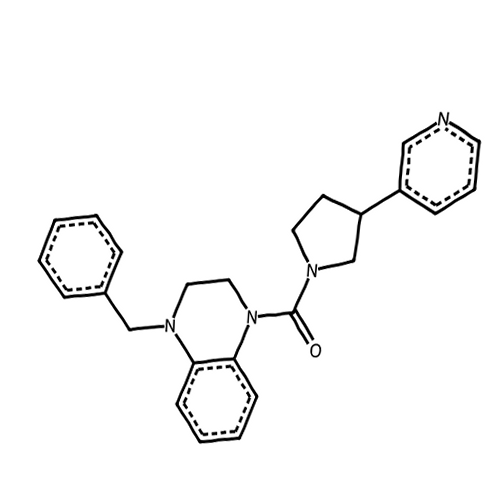 O=C(N1CCC(c2cccnc2)C1)N1CCN(Cc2ccccc2)c2ccccc21